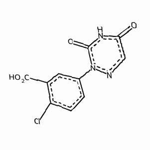 O=C(O)c1cc(-n2ncc(=O)[nH]c2=O)ccc1Cl